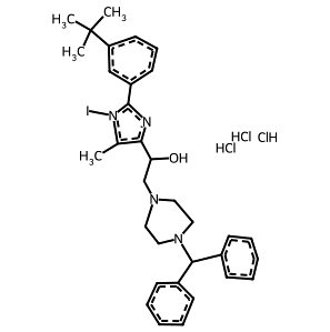 Cc1c(C(O)CN2CCN(C(c3ccccc3)c3ccccc3)CC2)nc(-c2cccc(C(C)(C)C)c2)n1I.Cl.Cl.Cl